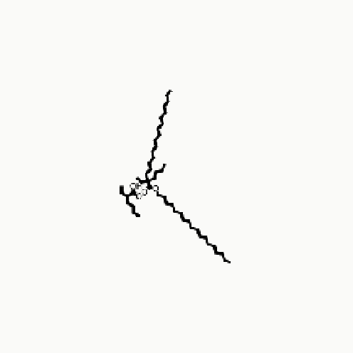 CCCCC(CC)C(=O)O.CCCCCCCCCCCCCCCCCCOC(=O)C(CC)(CCCC)CCCCCCCCCCCCCCCC